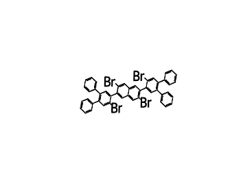 Brc1cc(-c2ccccc2)c(-c2ccccc2)cc1-c1cc2cc(Br)c(-c3cc(-c4ccccc4)c(-c4ccccc4)cc3Br)cc2cc1Br